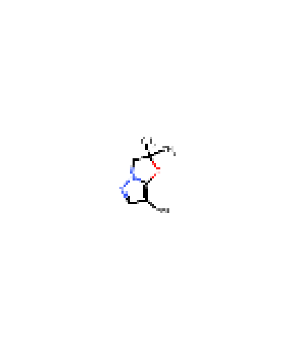 CC1(C)Cn2ncc(C(C)(C)C)c2O1